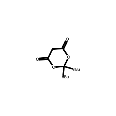 CCCCC1(CCCC)OC(=O)CC(=O)O1